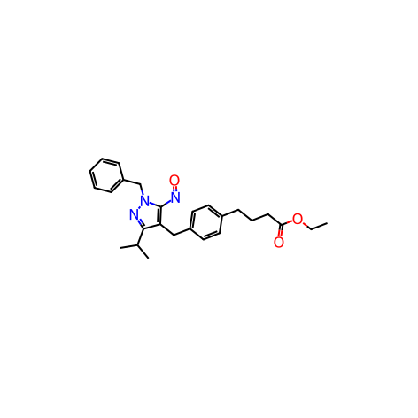 CCOC(=O)CCCc1ccc(Cc2c(C(C)C)nn(Cc3ccccc3)c2N=O)cc1